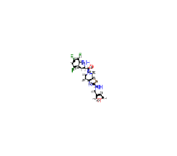 O=C(c1cc2c(F)cc(F)c(F)c2[nH]1)N1CCc2nc(NCC3CCOC3)sc2C1